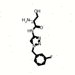 N[C@H](CO)C(=O)Nc1cn(Cc2cccc(F)c2)nn1